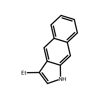 CCc1c[nH]c2cc3ccccc3cc12